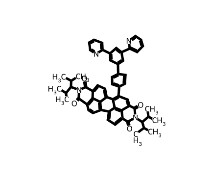 CC(C)C(C(C)C)N1C(=O)c2ccc3c4ccc5c6c(cc(-c7ccc(-c8cc(-c9ccccn9)cc(-c9ccccn9)c8)cc7)c(c7ccc(c2c37)C1=O)c64)C(=O)N(C(C(C)C)C(C)C)C5=O